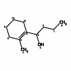 CCCC(O)C1=C(C)CCCC1